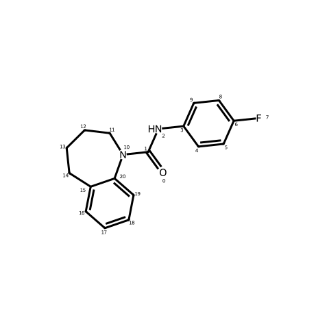 O=C(Nc1ccc(F)cc1)N1CCCCc2ccccc21